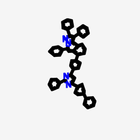 c1ccc(-c2ccc(-c3cc(-c4ccc(-c5cccc6c5cc(-c5ccccc5)n5nc(-c7ccccc7)c(-c7ccccc7)c65)cc4)nc(-c4ccccc4)n3)cc2)cc1